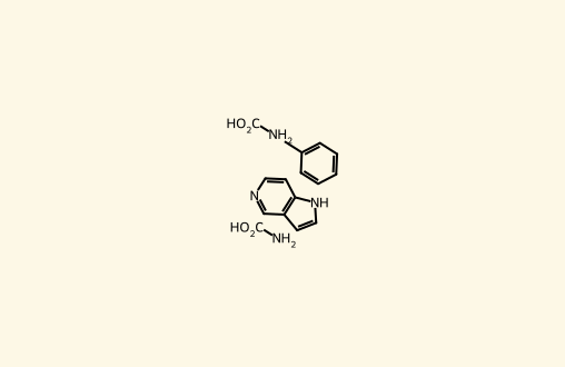 Cc1ccccc1.NC(=O)O.NC(=O)O.c1cc2[nH]ccc2cn1